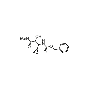 CNC(=O)C(O)C(NC(=O)OCc1ccccc1)C1CC1